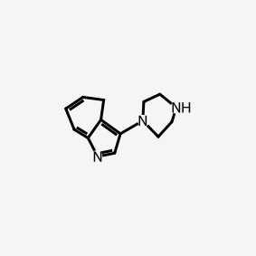 C1=CCC2=C(N3CCNCC3)C=NC2=C1